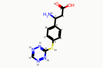 NC(CC(=O)O)c1ccc(Sc2nncnn2)cc1